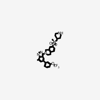 Cc1cc(-c2cccc(OC(F)(F)F)c2)cc2c(N3CCc4ccc(S(=O)(=O)N(C)CC5CCNCC5)cc4C3)ncnc12